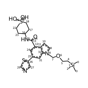 C[Si](C)(C)CCOCn1ccc2c(C(=O)NC3CCS(O)(O)CC3)cc(-c3cncs3)cc21